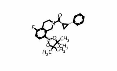 CC1(C)OB(c2ccc(F)c3c2CN(C(=O)[C@@H]2C[C@H]2c2ccccc2)CC3)OC1(C)C